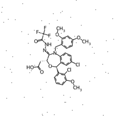 COc1ccc(CN2C(=NNC(=O)C(F)(F)F)[C@@H](CC(=O)O)O[C@H](c3cccc(OC)c3Cl)c3cc(Cl)ccc32)c(OC)c1